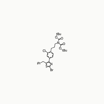 CC(C)Cc1sc(Br)nc1-c1ccc(CCCN(C(=O)OC(C)(C)C)C(=O)OC(C)(C)C)c(Cl)c1